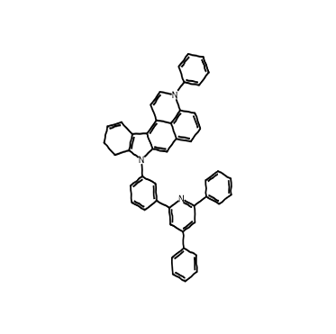 C1=Cc2c(n(-c3cccc(-c4cc(-c5ccccc5)cc(-c5ccccc5)n4)c3)c3cc4cccc5c4c(c23)C=CN5c2ccccc2)CC1